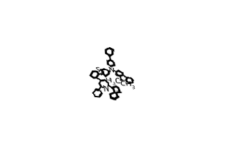 CC1(C)c2ccccc2-c2ccc(N(c3ccc(-c4ccccc4)cc3)c3ccc4c(c3)sc3cccc(C5=CCC(c6cccc7ccccc67)=NC(C6=CCCC=C6)=C5)c34)cc21